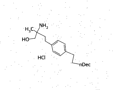 CCCCCCCCCCCCc1ccc(CCC(C)(N)CO)cc1.Cl